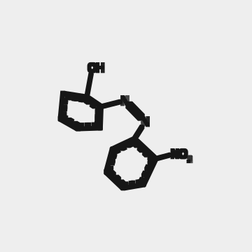 O=[N+]([O-])c1ccccc1/N=N\c1ccccc1O